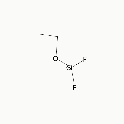 CCO[Si](F)F